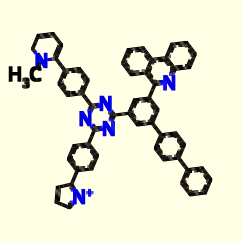 CN1CC=CC=C1c1ccc(-c2nc(-c3ccc(C4=[N+]=CC=C4)cc3)nc(-c3cc(-c4ccc(-c5ccccc5)cc4)cc(-c4nc5ccccc5c5ccccc45)c3)n2)cc1